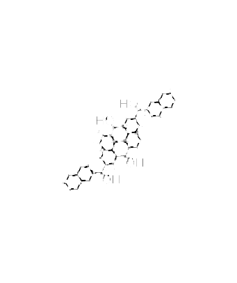 OC(c1ccc2ccccc2c1)c1cc2c3c4c(ccc3c1)C(O)c1cc(C(O)c3ccc5ccccc5c3)cc3ccc(c-4c13)C2O